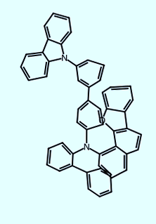 c1ccc(-c2ccccc2N(c2ccc(-c3cccc(-n4c5ccccc5c5ccccc54)c3)cc2)c2cccc3ccc4c5ccccc5oc4c23)cc1